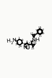 N[C@H]1CC[C@H](c2cc(C3(CN[C@@H]4C[C@H]4c4ccccc4)CC3)on2)CC1